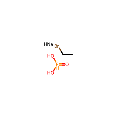 CCBr.O=[PH](O)O.[NaH]